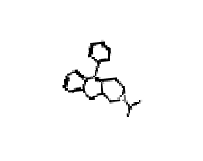 CC(C)N1CCC2=C(c3ccccc3)c3ccccc3CC2C1